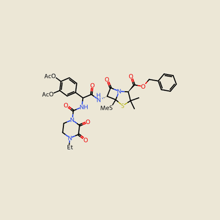 CCN1CCN(C(=O)NC(C(=O)N[C@@H]2C(=O)N3[C@@H](C(=O)OCc4ccccc4)C(C)(C)SC23SC)c2ccc(OC(C)=O)c(OC(C)=O)c2)C(=O)C1=O